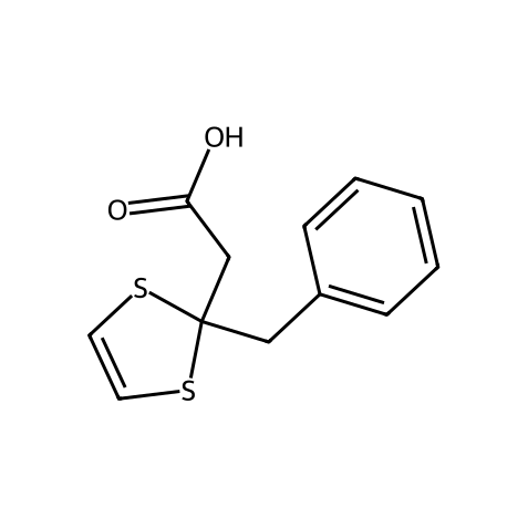 O=C(O)CC1(Cc2ccccc2)SC=CS1